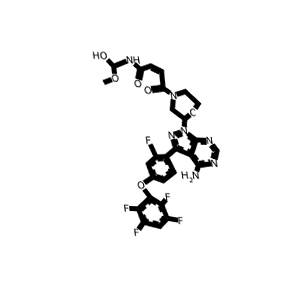 COC(O)NC(=O)/C=C\C(=O)N1CCCC(n2nc(-c3ccc(Oc4c(F)c(F)cc(F)c4F)cc3F)c3c(N)ncnc32)C1